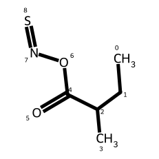 CCC(C)C(=O)ON=S